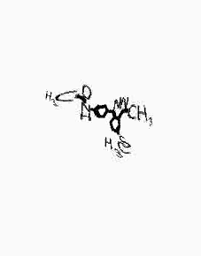 CSc1ccc2c(-c3ccc(NC(C)=O)cc3)nnc(C)c2c1